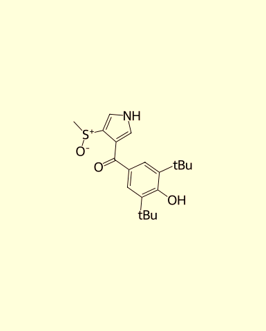 C[S+]([O-])c1c[nH]cc1C(=O)c1cc(C(C)(C)C)c(O)c(C(C)(C)C)c1